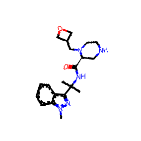 Cn1nc(C(C)(C)NC(=O)[C@@H]2CNCCN2CC2COC2)c2ccccc21